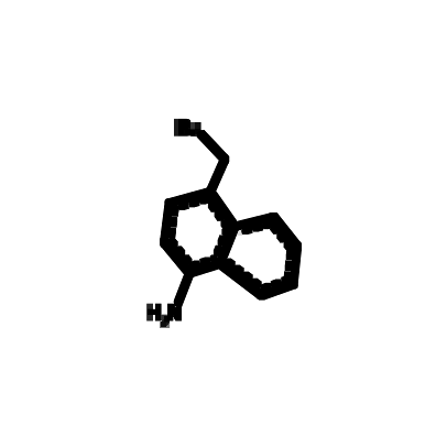 CCC(C)Cc1ccc(N)c2ccccc12